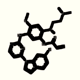 C=CC(=O)Nc1cc(Nc2nccc(-n3ccc4ccc(Cl)cc43)n2)c(OC)cc1N(C)CCN(C)C